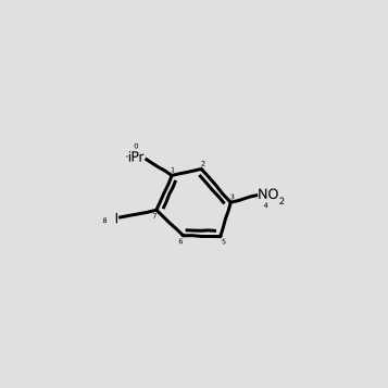 C[C](C)c1cc([N+](=O)[O-])ccc1I